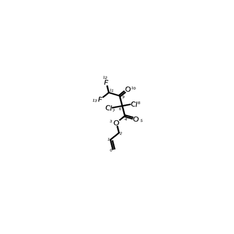 C=CCOC(=O)C(Cl)(Cl)C(=O)C(F)F